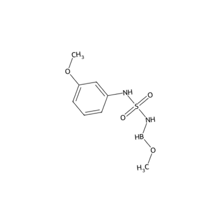 COBNS(=O)(=O)Nc1cccc(OC)c1